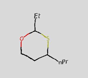 CCCC1CCOC(CC)S1